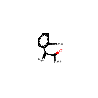 C=C(C(=O)OC)c1ccccc1C(C)=O